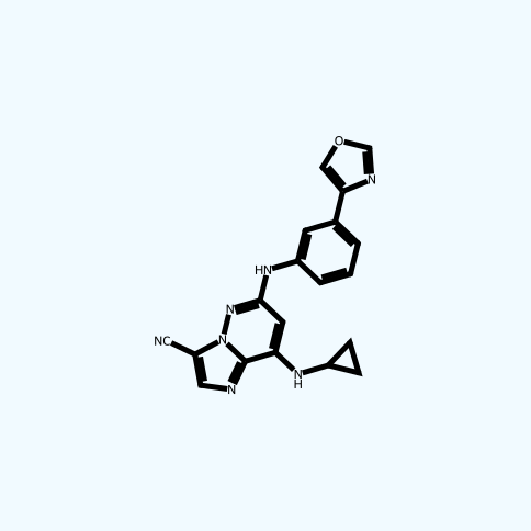 N#Cc1cnc2c(NC3CC3)cc(Nc3cccc(-c4cocn4)c3)nn12